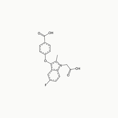 Cc1c(Oc2ccc(C(=O)O)cc2)c2cc(F)ccc2n1CC(=O)O